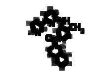 Cc1ccc(C(=O)N2CCc3ccccc3C2)cc1Nc1nccc(-c2cccnc2)n1